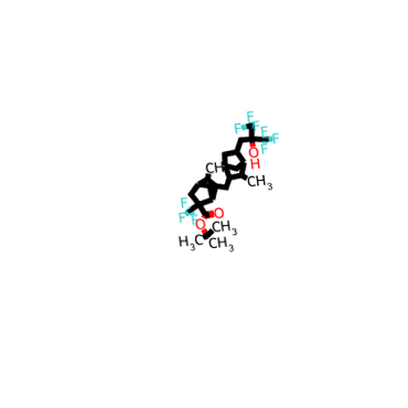 CC1C2CC(CC2CC(O)(C(F)(F)F)C(F)(F)F)C1CC1C(C)C2CC1C(C(=O)OC(C)(C)C)(C(F)(F)F)C2